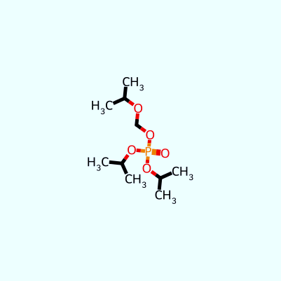 CC(C)OCOP(=O)(OC(C)C)OC(C)C